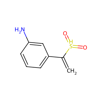 C=C(c1cccc(N)c1)[SH](=O)=O